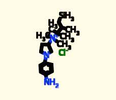 CC(C[SiH3])C(C)(C)[N+](C)(C)C1CCN(c2ccc(N)cc2)C1.[Cl-]